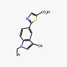 CCOC(=O)c1cnc(-c2ccc3c(c2)c(C#N)cn3CC(C)C)s1